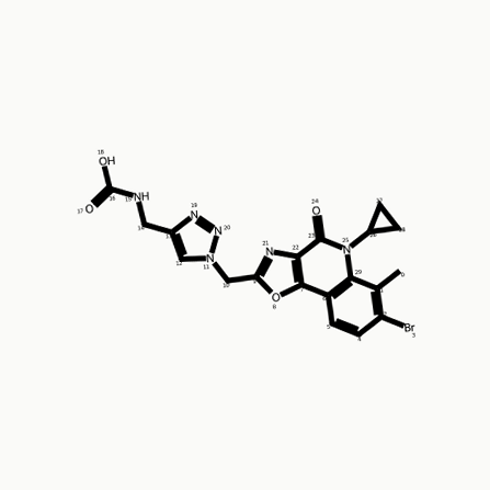 Cc1c(Br)ccc2c3oc(Cn4cc(CNC(=O)O)nn4)nc3c(=O)n(C3CC3)c12